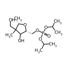 CC(C)OP(=O)(OC[C@H]1O[C@@H](C)C(C)(CO)C1O)OC(C)C